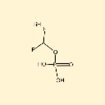 O=P(O)(O)OC(F)F.[LiH]